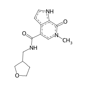 Cn1cc(C(=O)NCC2CCOC2)c2cc[nH]c2c1=O